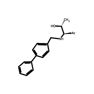 CC(=O)[C@@H](NCc1ccc(-c2ccccc2)cc1)[C@@H](C)O